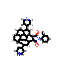 Cc1ccccc1-n1c(=O)c2c3cc(-c4ccncc4)c4ccc5ccc6c(-c7ccncc7)cc(c2c1=O)c1c6c5c4c31